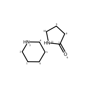 C1CCNCC1.O=C1CCCN1